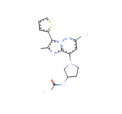 CC(=O)NC1CCN(c2cc(C)nn3c(-c4cccs4)c(C)nc23)C1